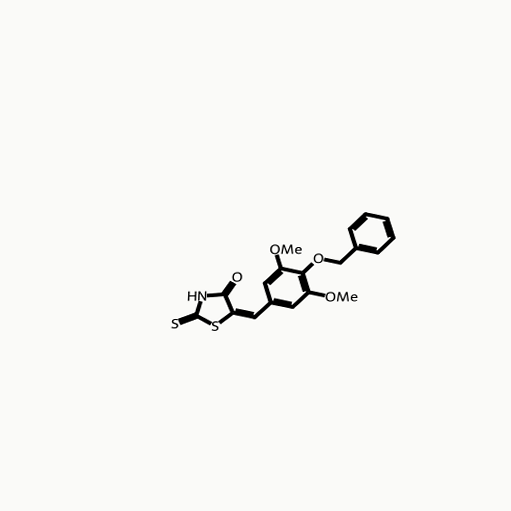 COc1cc(C=C2SC(=S)NC2=O)cc(OC)c1OCc1ccccc1